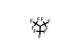 FC(F)(F)C(C(F)(F)F)C(F)(F)F